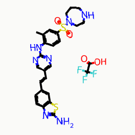 Cc1cc(S(=O)(=O)N2CCCNCC2)ccc1Nc1ncc(C=Cc2ccc3nc(N)sc3c2)cn1.O=C(O)C(F)(F)F